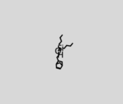 CCCC[SiH](CCCC)OCCC1CC2C=CC1C2